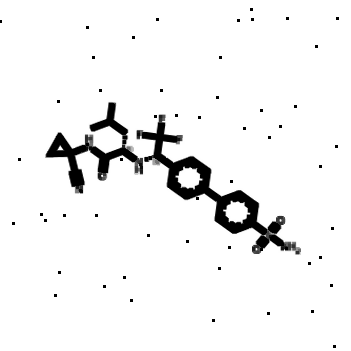 CC(C)C[C@H](N[C@@H](c1ccc(-c2ccc(S(N)(=O)=O)cc2)cc1)C(F)(F)F)C(=O)NC1(C#N)CC1